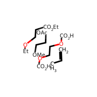 C=CC.CCOCCC(=O)OCC.COCCOC(C)=O.O=C(O)OCCOC(=O)O